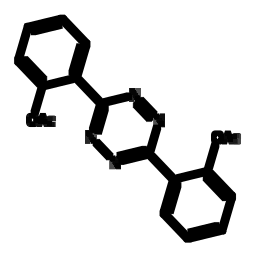 CC(=O)Oc1ccccc1-c1nnc(-c2ccccc2OC(C)=O)nn1